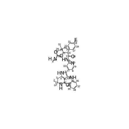 CC1(C)Cc2[nH]c(-c3ccnc(NC(=O)C(c4ccc(F)cc4)C(OC(N)=O)C(C)(C)C)c3)c(Nc3ccccc3)c2C(=O)N1